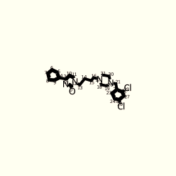 O=c1nc(-c2ccccc2)ccn1CCCCN1CCN(Cc2ccc(Cl)cc2Cl)CC1